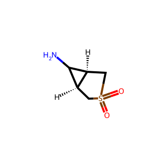 NC1[C@H]2CS(=O)(=O)C[C@@H]12